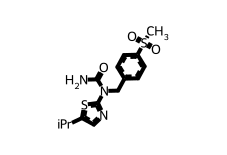 CC(C)c1cnc(N(Cc2ccc(S(C)(=O)=O)cc2)C(N)=O)s1